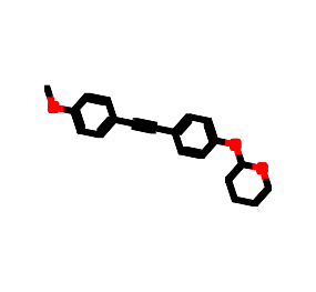 COc1ccc(C#Cc2ccc(OC3CCCCO3)cc2)cc1